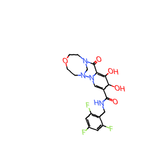 O=C(NCc1c(F)cc(F)cc1F)C1=CN2C(=C(O)C1O)C(=O)N1CCOCCN2C1